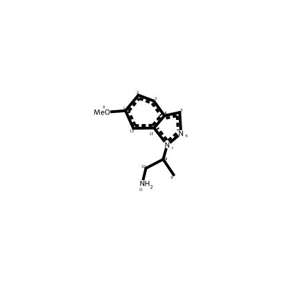 COc1ccc2cnn(C(C)CN)c2c1